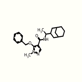 CC(NC(=O)c1cnn(C)c1OCc1ccccc1)C1CC2CCCC(C2)C1